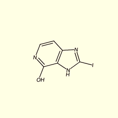 Oc1nccc2nc(I)[nH]c12